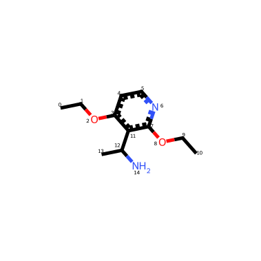 CCOc1ccnc(OCC)c1C(C)N